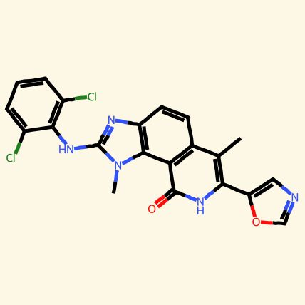 Cc1c(-c2cnco2)[nH]c(=O)c2c1ccc1nc(Nc3c(Cl)cccc3Cl)n(C)c12